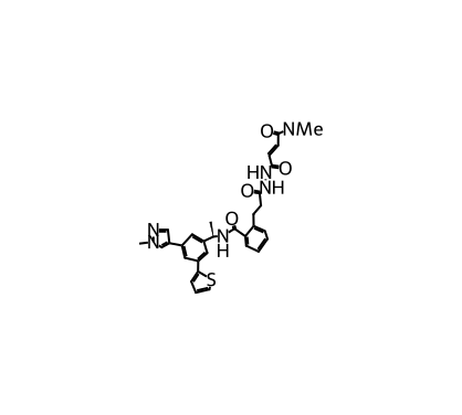 CNC(=O)/C=C/C(=O)NNC(=O)CCc1ccccc1C(=O)N[C@H](C)c1cc(-c2cnn(C)c2)cc(-c2cccs2)c1